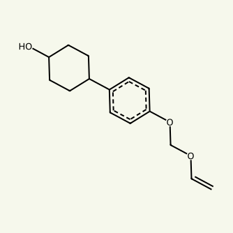 C=COCOc1ccc(C2CCC(O)CC2)cc1